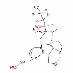 C[C@]12C[C@H](c3ccc(C=NO)cc3)C3=C4CCOC=C4CCC3C1CC[C@@]2(O)C(F)(F)C(F)(F)C(F)(F)F